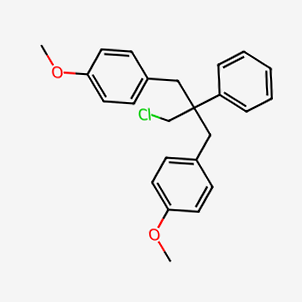 COc1ccc(CC(CCl)(Cc2ccc(OC)cc2)c2ccccc2)cc1